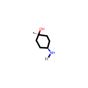 CCN[C@H]1CC[C@@](C)(O)CC1